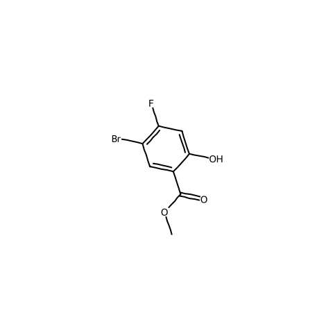 COC(=O)c1cc(Br)c(F)cc1O